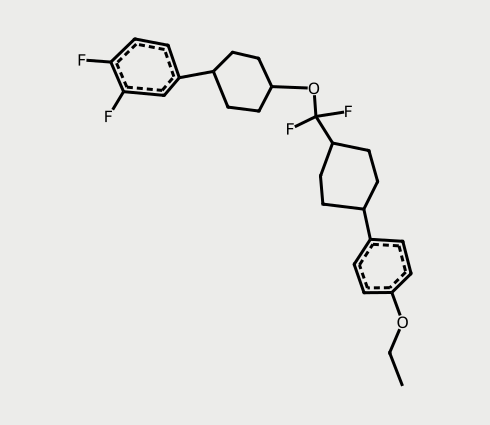 CCOc1ccc(C2CCC(C(F)(F)OC3CCC(c4ccc(F)c(F)c4)CC3)CC2)cc1